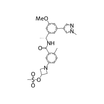 COc1cc(-c2cnn(C)c2)cc([C@@H](C)NC(=O)c2cc(N3CC(OS(C)(=O)=O)C3)ccc2C)c1